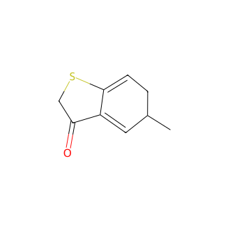 CC1C=C2C(=O)CSC2=CC1